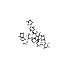 c1ccc(-c2ccc(N(c3ccc(-c4cccc5sc6ccccc6c45)cc3)c3cccc4c3-c3ccccc3C43c4ccccc4-c4c(-c5ccccc5)cccc43)cc2)cc1